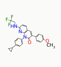 COc1ccc(-c2cc3ccc(NCC(F)(F)F)nc3n(-c3ccc(C4CC4)cc3)c2=O)cc1